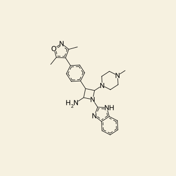 Cc1noc(C)c1-c1ccc(C2C(N)N(c3nc4ccccc4[nH]3)C2N2CCN(C)CC2)cc1